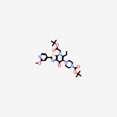 CCc1c(N2CCN(C(=O)OC(C)(C)C)CC2)c(=O)c2nc(-c3ccnc(OC)c3)sc2n1CC(=O)OC(C)(C)C